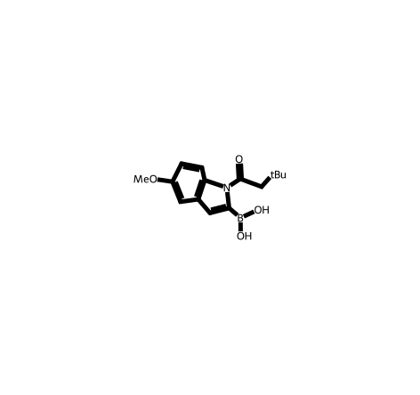 COc1ccc2c(c1)cc(B(O)O)n2C(=O)CC(C)(C)C